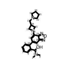 CN(C)C(O)c1ccccc1-c1cc(N2CC(CN3CCCC3)C2)c2nonc2c1